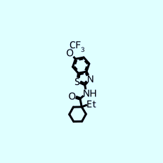 CCC1(C(=O)Nc2nc3ccc(OC(F)(F)F)cc3s2)CCCCC1